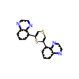 C1=C(c2cccc3nccnc23)SC(c2cccc3nccnc23)=CS1